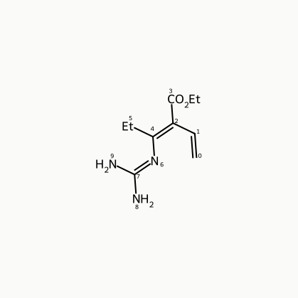 C=C/C(C(=O)OCC)=C(/CC)N=C(N)N